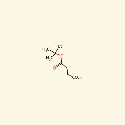 CCC(C)(C)OC(=O)CCC(=O)O